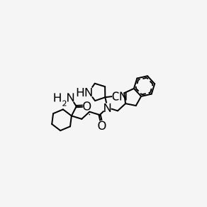 N#CC1(N(CC2Cc3ccccc3C2)C(=O)[CH]CC2(C(N)=O)CCCCC2)CCNC1